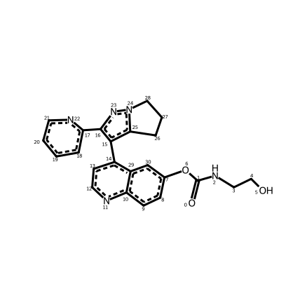 O=C(NCCO)Oc1ccc2nccc(-c3c(-c4ccccn4)nn4c3CCC4)c2c1